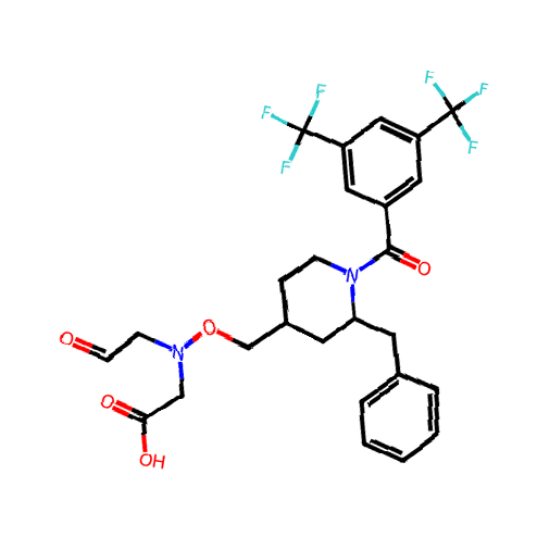 O=CCN(CC(=O)O)OCC1CCN(C(=O)c2cc(C(F)(F)F)cc(C(F)(F)F)c2)C(Cc2ccccc2)C1